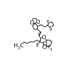 CCCCCCC(F)(CC)C(/C=C/C1CCC2(OCCO2)C1CCC1SCCS1)OC1CCCCO1